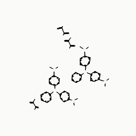 CN(C)c1ccc([C+](c2ccccc2)c2ccc(N(C)C)cc2)cc1.CN(C)c1ccc([C+](c2ccccc2)c2ccc(N(C)C)cc2)cc1.O=C(O)C(=O)O.O=C([O-])C(=O)O.O=C([O-])C(=O)O